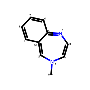 [CH2]N1C=CN=c2ccccc2=C1